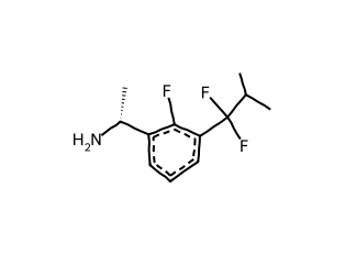 CC(C)C(F)(F)c1cccc([C@@H](C)N)c1F